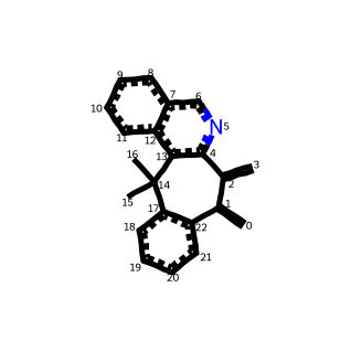 C=C1C(=C)c2ncc3ccccc3c2C(C)(C)c2ccccc21